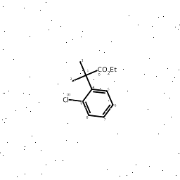 CCOC(=O)C(C)(C)c1ccccc1Cl